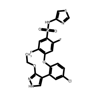 CCOc1n[nH]cc1-c1cc(Cl)ccc1Oc1cc(F)c(S(=O)(=O)Nc2cscn2)cc1F